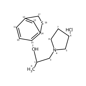 CC(O)CN1CCCC1.Cl.c1cc2cc(c1)SC2